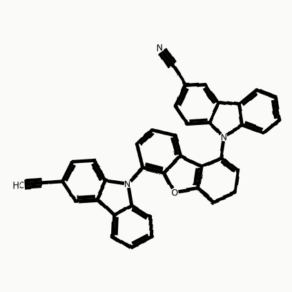 C#Cc1ccc2c(c1)c1ccccc1n2-c1cccc2c3c(oc12)CCC=C3n1c2ccccc2c2cc(C#N)ccc21